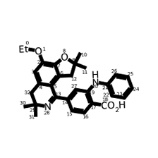 CCOc1cc2c(c3c1OC(C)(C)C3)C(c1ccc(C(=O)O)c(Nc3ccccc3)c1)=NC(C)(C)C2